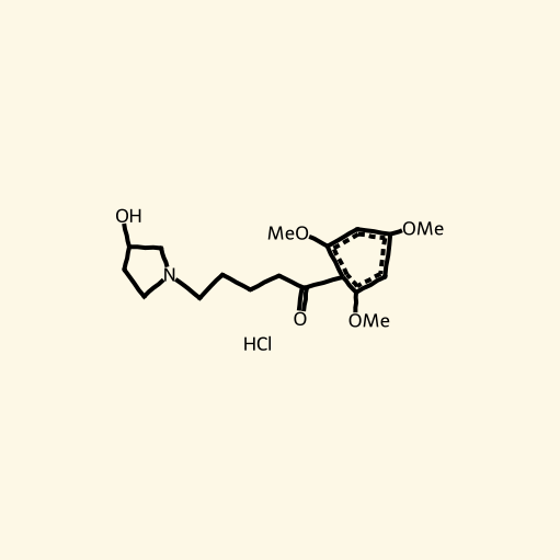 COc1cc(OC)c(C(=O)CCCCN2CCC(O)C2)c(OC)c1.Cl